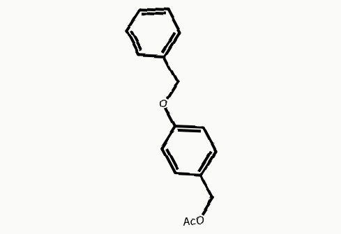 CC(=O)OCc1ccc(OCc2ccccc2)cc1